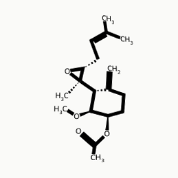 C=C1CC[C@@H](OC(C)=O)[C@@H](OC)[C@@H]1[C@@]1(C)O[C@@H]1CC=C(C)C